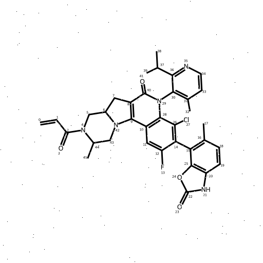 C=CC(=O)N1CC2Cc3c(c4cc(F)c(-c5c(C)ccc6[nH]c(=O)oc56)c(Cl)c4n(-c4c(C)ccnc4C(C)C)c3=O)N2CC1C